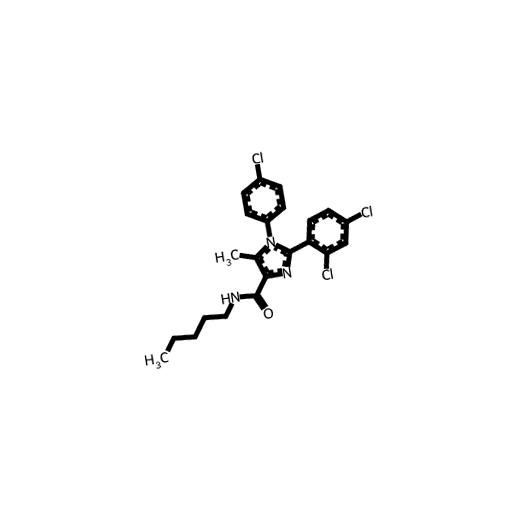 CCCCCNC(=O)c1nc(-c2ccc(Cl)cc2Cl)n(-c2ccc(Cl)cc2)c1C